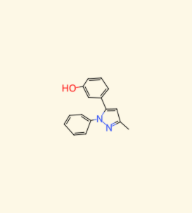 Cc1cc(-c2cccc(O)c2)n(-c2ccccc2)n1